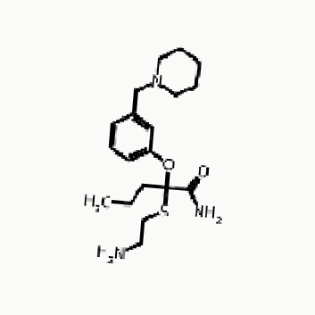 CCCC(Oc1cccc(CN2CCCCC2)c1)(SCCN)C(N)=O